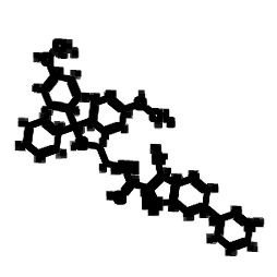 COc1ccc(C(OCCNC(=O)c2[nH]c3cc(-c4cccnc4)ccc3c2Br)(c2ccccc2)c2ccc(OC)cc2)cc1